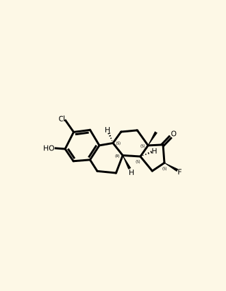 C[C@]12CC[C@@H]3c4cc(Cl)c(O)cc4CC[C@H]3[C@@H]1C[C@H](F)C2=O